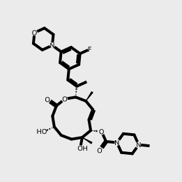 C/C(=C\c1cc(F)cc(N2CCOCC2)c1)[C@H]1OC(=O)C[C@@H](O)CC[C@@](C)(O)[C@@H](OC(=O)N2CCN(C)CC2)/C=C/[C@@H]1C